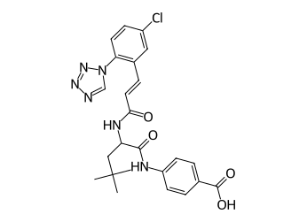 CC(C)(C)CC(NC(=O)C=Cc1cc(Cl)ccc1-n1cnnn1)C(=O)Nc1ccc(C(=O)O)cc1